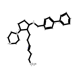 O=C(O)CC/C=C/CCC1C(OCc2ccc(-c3ccccc3)cc2)CCC1N1CCOCC1